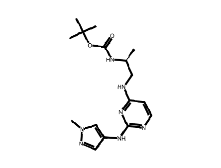 C[C@@H](CNc1ccnc(Nc2cnn(C)c2)n1)NC(=O)OC(C)(C)C